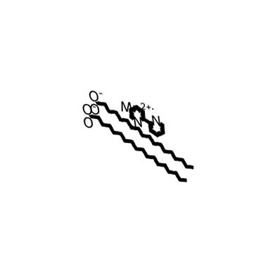 CCCCCCCCCCCCCCCCCC(=O)[O-].CCCCCCCCCCCCCCCCCC(=O)[O-].[Mn+2].c1ccc(-c2ccccn2)nc1